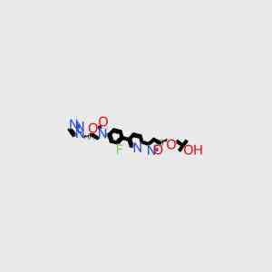 CC(C)(O)COC[C@@H]1CC(c2ccc(-c3ccc(N4C[C@H](Cn5ccnn5)OC4=O)cc3F)cn2)=NO1